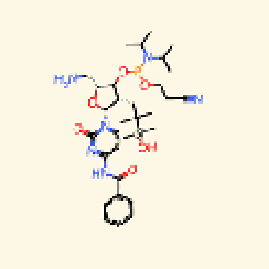 CC(C)N(C(C)C)P(OCCC#N)OC1[C@@H](CN)O[C@@H](n2ccc(NC(=O)c3ccccc3)nc2=O)[C@H]1CC(C)(C)[Si](C)(C)O